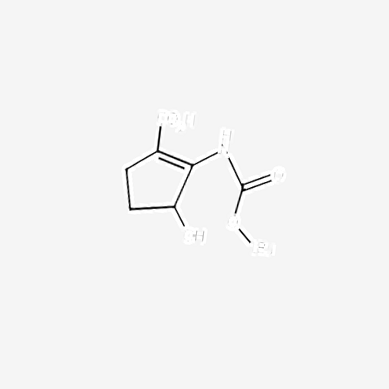 CC(C)(C)OC(=O)NC1=C(C(=O)O)CCC1O